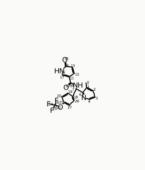 Cc1cccnc1C(NC(=O)c1ccc(=O)[nH]c1)c1ccc(OC(F)(F)F)cc1